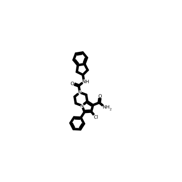 NC(=O)c1c(Cl)c(-c2ccccc2)n2c1CN(C(=O)NC1Cc3ccccc3C1)CC2